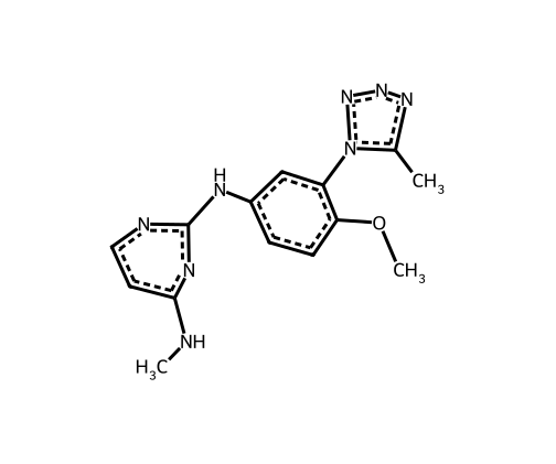 CNc1ccnc(Nc2ccc(OC)c(-n3nnnc3C)c2)n1